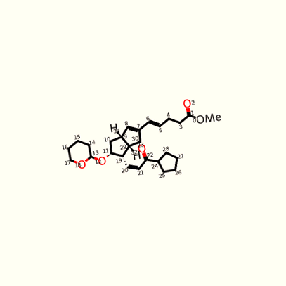 COC(=O)CCC=CC1=C[C@H]2C[C@@H](OC3CCCCO3)[C@@H](/C=C\C(=O)C3CCCC3)[C@H]2C1